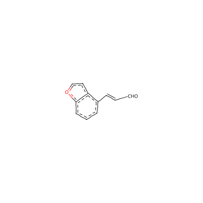 O=CC=Cc1cccc2occc12